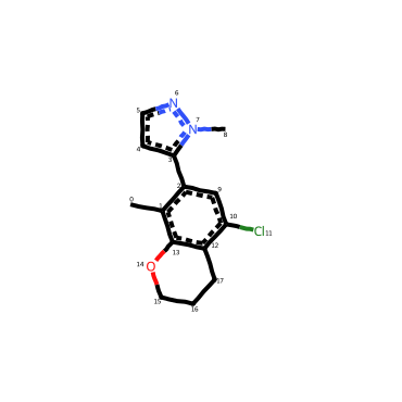 Cc1c(-c2ccnn2C)cc(Cl)c2c1OCCC2